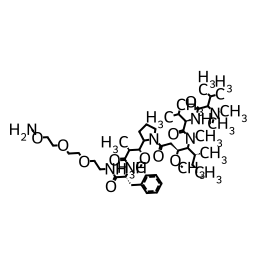 CC[C@@H](C)C([C@H](CC(=O)N1CCCC1[C@@H](OC)[C@H](C)C(=O)N[C@H](Cc1ccccc1)C(=O)NCCOCCOCCON)OC)N(C)C(=O)[C@H](NC(=O)C(C(C)C)N(C)C)C(C)C